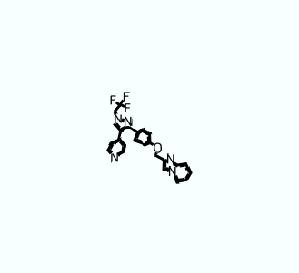 FC(F)(F)Cn1cc(-c2ccncc2)c(-c2ccc(OCc3cn4ccccc4n3)cc2)n1